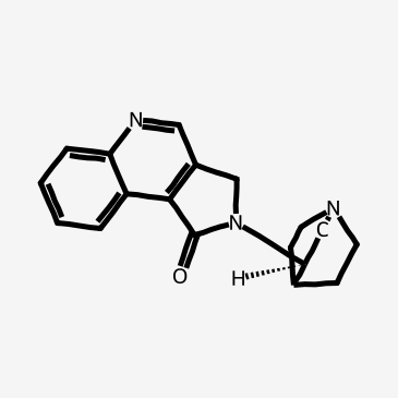 O=C1c2c(cnc3ccccc23)CN1[C@H]1CN2CCC1CC2